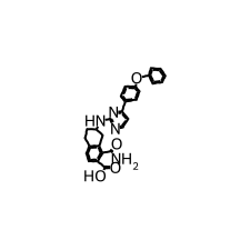 NC(=O)c1c(C(=O)O)ccc2c1CC(Nc1nccc(-c3ccc(Oc4ccccc4)cc3)n1)CC2